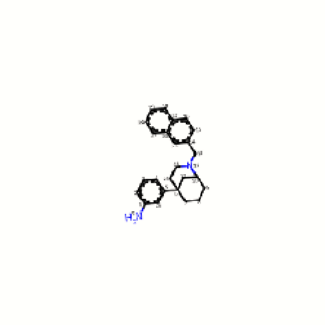 Nc1cccc(C23CCCC(C2)N(Cc2ccc4ccccc4c2)CC3)c1